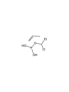 C=CC.CCC(Cl)OP(O)O